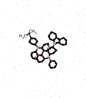 CN(C)c1ccc(N(c2ccccc2)c2ccncc2-c2cnccc2N(c2ccccc2)c2ccc(-n3c4ccccc4c4ccccc43)cc2)cc1